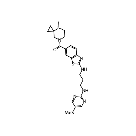 CSc1cnc(NCCCNc2nc3ccc(C(=O)N4CCN(C)C5(CC5)C4)cc3s2)nc1